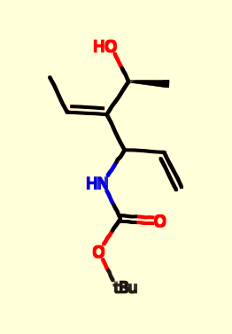 C=CC(NC(=O)OC(C)(C)C)/C(=C/C)[C@H](C)O